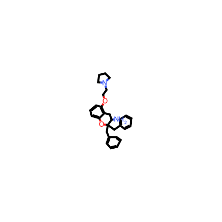 NC1Cc2c(OCCN3CCCC3)cccc2OC1(Cc1ccccc1)Cc1ccccc1